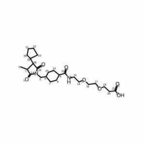 CC1C(=O)N(CC2CCC(C(=O)NCCOCCOCCC(=O)O)CC2)C(=O)C1C1CCCC1